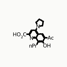 CCCc1c(O)c(C(C)=O)cc2c(N3CCCC3)cc(C(=O)O)nc12